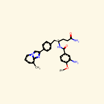 Cc1cccn2cc(-c3ccc(C[C@@H](CCC(N)=O)NC(=O)c4ccc(OC(C)C)c(N)c4)cc3)nc12